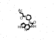 CC(=O)CCC(=O)N1CCC[C@@H](n2c(=O)[nH]c3cnc4[nH]ccc4c32)C1